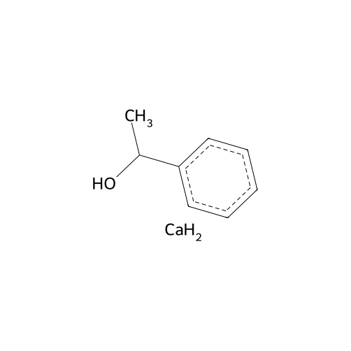 CC(O)c1ccccc1.[CaH2]